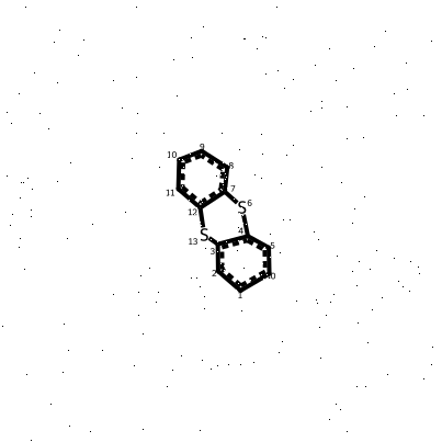 [c]1ccc2c(c1)Sc1ccccc1S2